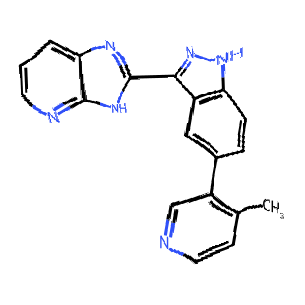 Cc1ccncc1-c1ccc2[nH]nc(-c3nc4cccnc4[nH]3)c2c1